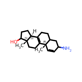 C[C@]12C=CC(N)CC1CCC1=C2CC[C@]2(C)C(O)CC[C@@H]12